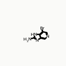 Nc1nc2cncc(Br)c2[nH]1